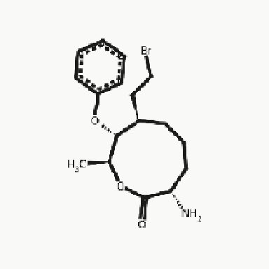 C[C@@H]1OC(=O)[C@@H](N)CCC[C@H](CCBr)[C@H]1Oc1ccccc1